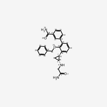 NC(=O)CN[C@@H]1C[C@H]1c1cccc(-c2cccc(C(N)=O)c2)c1OCc1ccccc1